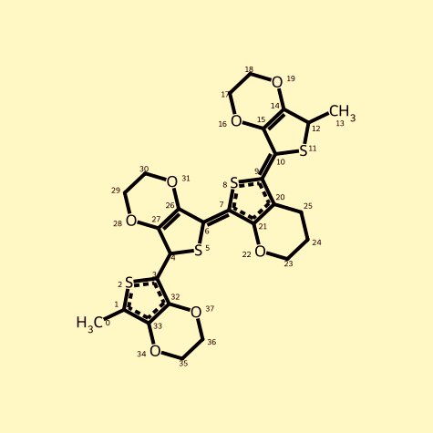 Cc1sc(C2S/C(=c3/s/c(=C4/SC(C)C5=C4OCCO5)c4c3OCCC4)C3=C2OCCO3)c2c1OCCO2